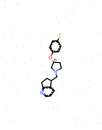 Fc1ccc(O[C@@H]2CCN(CC3CCc4ncccc43)C2)cc1